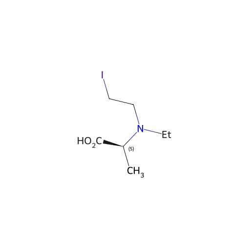 CCN(CCI)[C@@H](C)C(=O)O